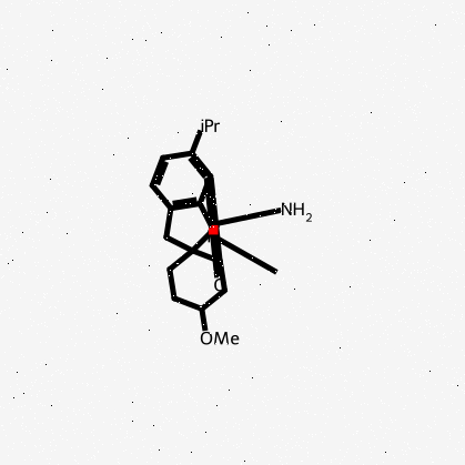 COC1CCC2(CC1)Cc1ccc(C(C)C)cc1C21N=C(N)N(C)C1=O